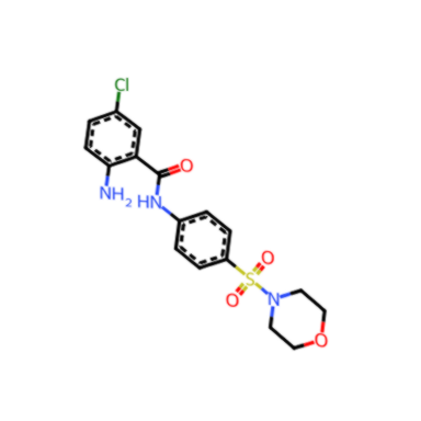 Nc1ccc(Cl)cc1C(=O)Nc1ccc(S(=O)(=O)N2CCOCC2)cc1